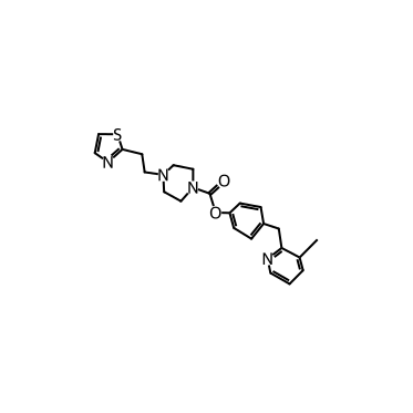 Cc1cccnc1Cc1ccc(OC(=O)N2CCN(CCc3nccs3)CC2)cc1